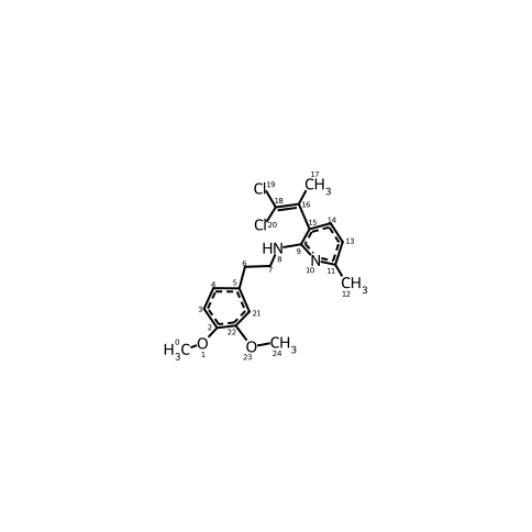 COc1ccc(CCNc2nc(C)ccc2C(C)=C(Cl)Cl)cc1OC